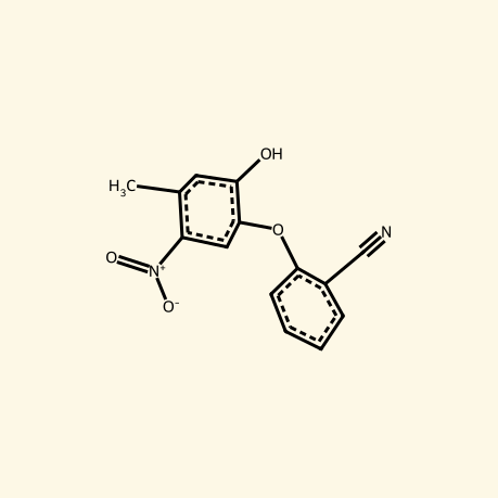 Cc1cc(O)c(Oc2ccccc2C#N)cc1[N+](=O)[O-]